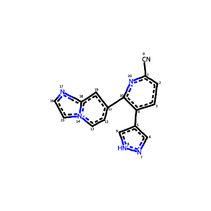 N#Cc1ccc(-c2cn[nH]c2)c(-c2ccn3ccnc3c2)n1